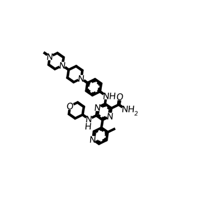 Cc1ccncc1-c1nc(C(N)=O)c(Nc2ccc(N3CCC(N4CCN(C)CC4)CC3)cc2)nc1NC1CCOCC1